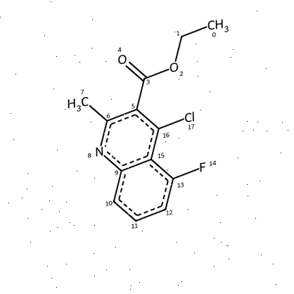 CCOC(=O)c1c(C)nc2cccc(F)c2c1Cl